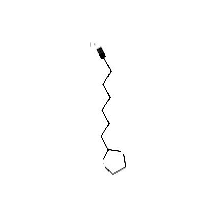 C#CCCCCCCC1OCCO1